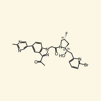 CC(=O)c1nn(CC(=O)N2C[C@H](F)C[C@H]2[C@H](O)Cc2cccc(Br)n2)c2ccc(-c3cnc(C)nc3)cc12